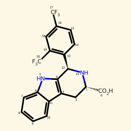 O=C(O)[C@@H]1Cc2c([nH]c3ccccc23)[C@@H](c2ccc(C(F)(F)F)cc2C(F)(F)F)N1